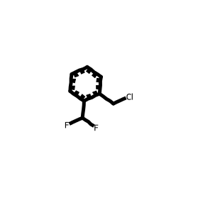 FC(F)c1ccccc1CCl